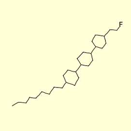 CCCCCCCCCC1CCC(C2CCC(C3CCC(CCF)CC3)CC2)CC1